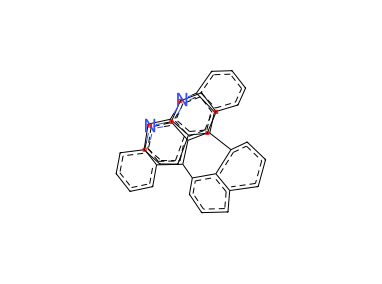 c1cc(-c2c3ccccc3nc3ccccc23)c2c(-c3c4ccccc4nc4ccccc34)cccc2c1